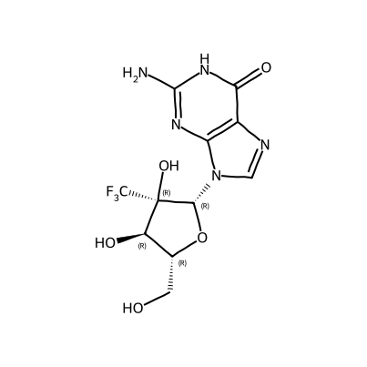 Nc1nc2c(ncn2[C@@H]2O[C@H](CO)[C@@H](O)[C@]2(O)C(F)(F)F)c(=O)[nH]1